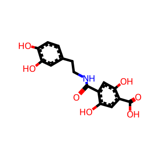 O=C(O)c1cc(O)c(C(=O)NCCc2ccc(O)c(O)c2)cc1O